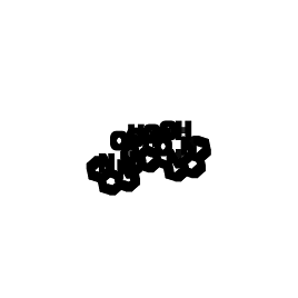 O=[PH](O)Oc1cc(OP(O)O)c(-c2ccc3ccc4cccnc4c3n2)cc1-c1ccc2ccc3cccnc3c2n1